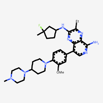 CCc1nc2c(N)ncc(-c3ccc(N4CCC(N5CCN(C)CC5)CC4)c(OC)c3)c2nc1NC1CCC(C)(F)C1